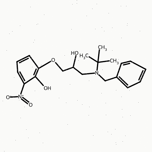 CC(C)(C)N(Cc1ccccc1)CC(O)COc1cccc([N+](=O)[O-])c1O